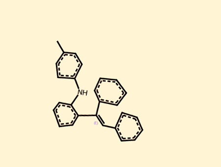 Cc1ccc(Nc2ccccc2/C(=C/c2ccccc2)c2ccccc2)cc1